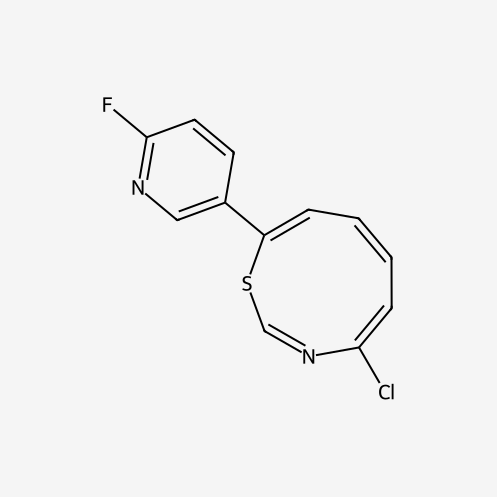 Fc1ccc(-c2ccccc(Cl)ncs2)cn1